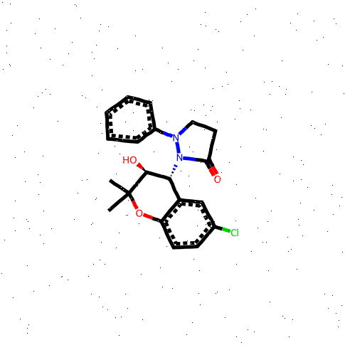 CC1(C)Oc2ccc(Cl)cc2[C@@H](N2C(=O)CCN2c2ccccc2)[C@@H]1O